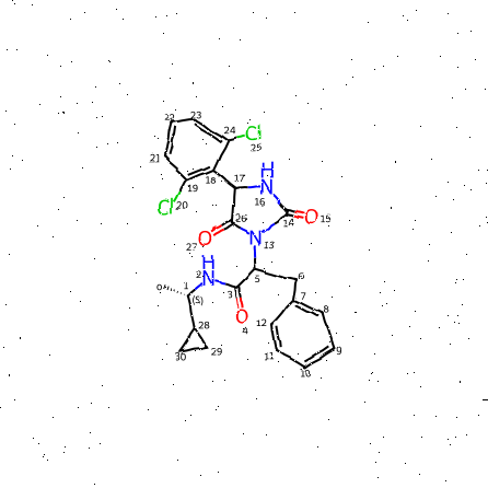 C[C@H](NC(=O)C(Cc1ccccc1)N1C(=O)NC(c2c(Cl)cccc2Cl)C1=O)C1CC1